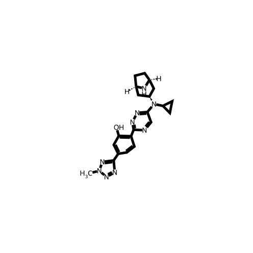 Cn1nnc(-c2ccc(-c3ncc(N(C4CC4)[C@@H]4C[C@H]5CC[C@@H](C4)N5)nn3)c(O)c2)n1